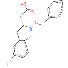 O=C(O)C[C@@H](Cc1cc(F)ccc1F)NOCc1ccccc1